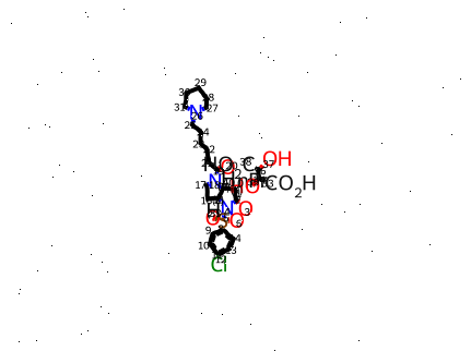 CCC[C@H]1C(=O)N(S(=O)(=O)c2ccc(Cl)cc2)[C@H]2CCN(C(=O)CCCCCN3CCCCC3)[C@H]12.O=C(O)C(O)C(O)C(=O)O